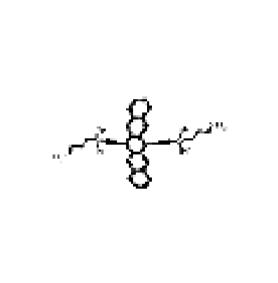 C=CCC[Si](C#Cc1c2cc3ccccc3cc2c(C#C[Si](CCC=C)(C(C)C)C(C)C)c2cc3ccccc3cc12)(C(C)C)C(C)C